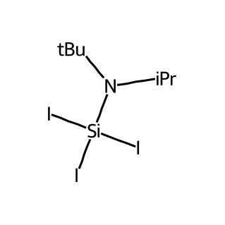 CC(C)N(C(C)(C)C)[Si](I)(I)I